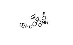 O=C1Nc2ccc(F)cc2/C1=C1\OC(c2cccs2)c2cc(OCCN3CCOCC3)ccc21